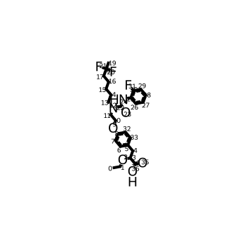 CCOC(Cc1ccc(OCCN(CCCCCC(C)(F)F)C(=O)Nc2ccccc2F)cc1)C(=O)O